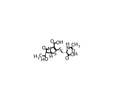 CC(=O)N[C@@H](CSC1=C(C(=O)O)N2C(=O)[C@H](C(C)O)[C@H]2S1)C(=O)O